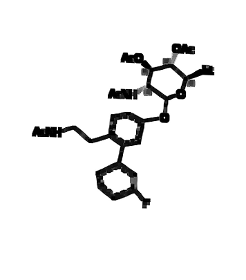 CC[C@H]1OC(Oc2ccc(CCNC(C)=O)c(-c3cccc(F)c3)c2)[C@H](NC(C)=O)[C@@H](OC(C)=O)[C@@H]1OC(C)=O